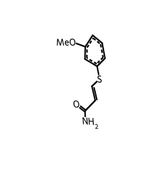 COc1cccc(SC=CC(N)=O)c1